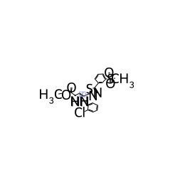 CCOC(=O)C(=N)/C=C(\Nc1ccccc1Cl)c1nnc(-c2cccc(S(C)(=O)=O)c2)s1